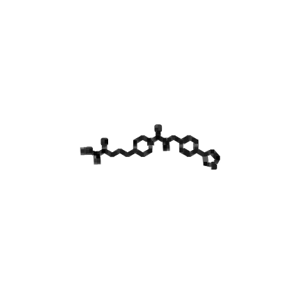 O=C(CCCC1CCN(C(=O)NCc2ccc(-c3ccsc3)cc2)CC1)NO